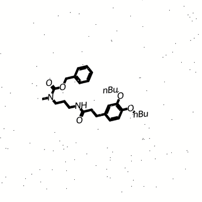 CCCCOc1ccc(CCC(=O)NCCCN(C)C(=O)OCc2ccccc2)cc1OCCCC